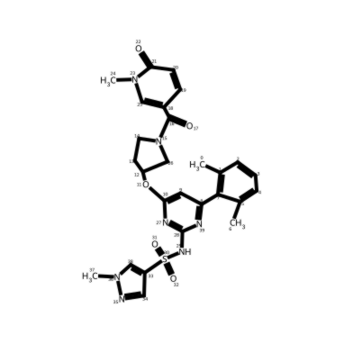 Cc1cccc(C)c1-c1cc(OC2CCN(C(=O)c3ccc(=O)n(C)c3)C2)nc(NS(=O)(=O)c2cnn(C)c2)n1